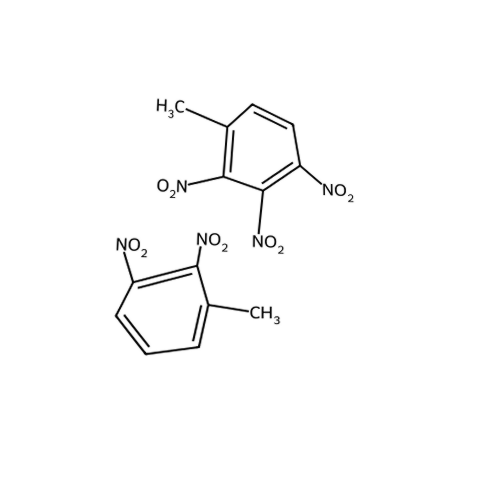 Cc1ccc([N+](=O)[O-])c([N+](=O)[O-])c1[N+](=O)[O-].Cc1cccc([N+](=O)[O-])c1[N+](=O)[O-]